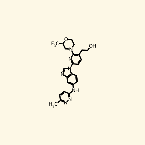 Cc1ccc(Nc2ccc3c(c2)ncn3-c2ccc(CCO)c(N3CCO[C@H](C(F)(F)F)C3)n2)nn1